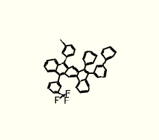 Cc1cccc(-c2c3ccccc3c(-c3cccc(C(F)(F)F)c3)c3cc4c(cc23)c(-c2ccccc2)c(-c2cccc(-c3ccccc3)c2)c2ccccc24)c1